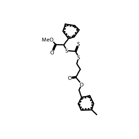 COC(=O)C(SC(=S)SCCC(=O)OCc1ccc(C)cc1)c1ccccc1